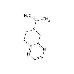 CC(C)N1CCc2nccnc2C1